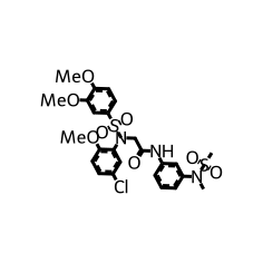 COc1ccc(S(=O)(=O)N(CC(=O)Nc2cccc(N(C)S(C)(=O)=O)c2)c2cc(Cl)ccc2OC)cc1OC